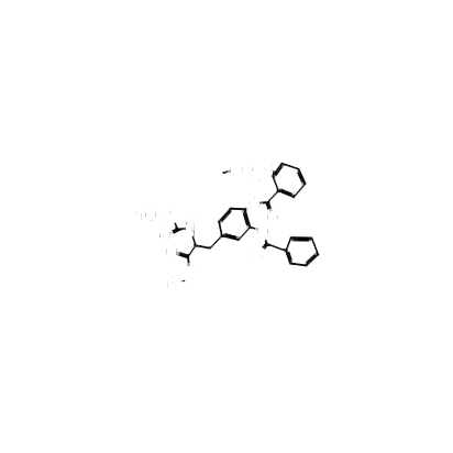 CC(=O)O.CCCCCCCCC(=O)NC(Cc1ccc(OC(=O)c2ccccc2)c(OC(=O)c2ccccc2)c1)C(=O)OC(C)C